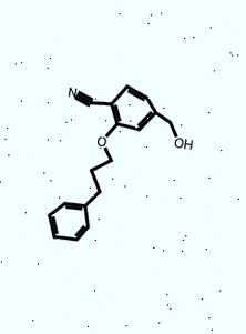 N#Cc1ccc(CO)cc1OCCCc1ccccc1